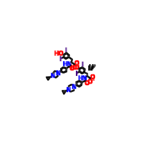 O=C(NC(Cc1cc(I)c(O)c(I)c1)C(=O)[O-])c1ccc(N2CCN(C3CC3)CC2)cc1.O=C(NC(Cc1cc(I)c(O)c(I)c1)C(=O)[O-])c1ccc(N2CCN(C3CC3)CC2)cc1.[Li+].[Li+]